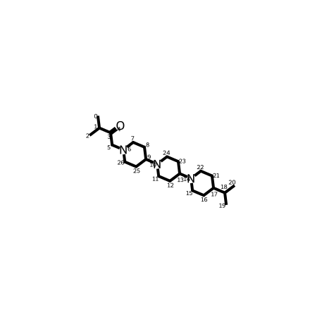 CC(C)C(=O)CN1CCC(N2CCC(N3CCC(C(C)C)CC3)CC2)CC1